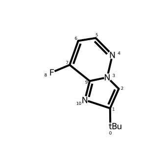 CC(C)(C)c1cn2nccc(F)c2n1